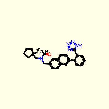 CCCC(=O)N(Cc1ccc2cc(-c3ccccc3-c3nnn[nH]3)ccc2c1)CC1(C(=O)O)CCCC1